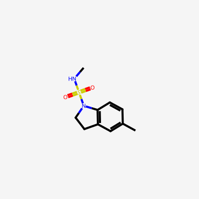 CNS(=O)(=O)N1CCc2cc(C)ccc21